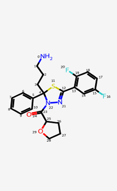 NCCCC1(c2ccccc2)SC(c2cc(F)ccc2F)=NN1C(=O)C1CCCO1